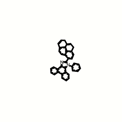 C1=Cc2ccc3c(-c4nc5c6ccccc6c6ccccc6c5n4-c4ccccc4)ccc4c3c2C(=CC4)C1